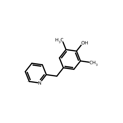 Cc1cc(Cc2ccc[c]n2)cc(C)c1O